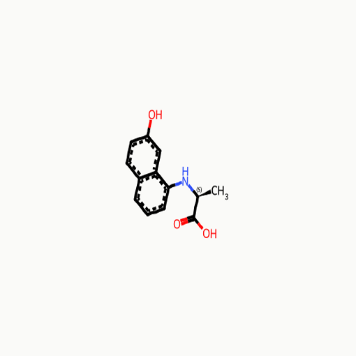 C[C@H](Nc1cccc2ccc(O)cc12)C(=O)O